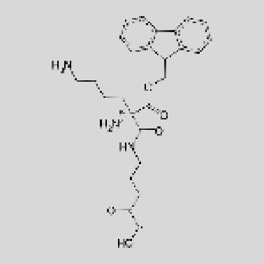 NCCCC[C@](N)(C(=O)NCCCC(=O)[CH]O)C(=O)OCC1c2ccccc2-c2ccccc21